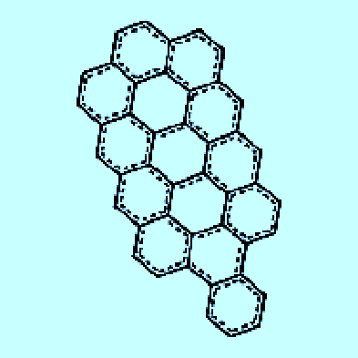 c1ccc2c(c1)c1ccc3cc4cc5ccc6ccc7ccc8cc9cc%10ccc2c2c%10c%10c9c9c8c7c6c5c9c4c%10c3c12